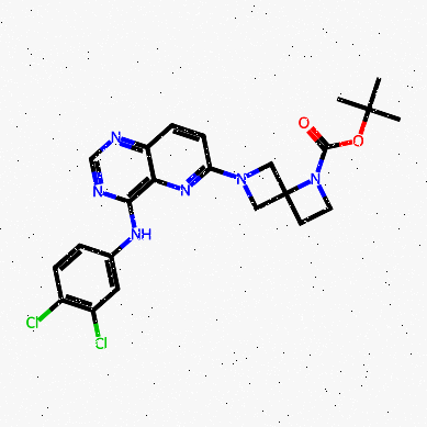 CC(C)(C)OC(=O)N1CCC12CN(c1ccc3ncnc(Nc4ccc(Cl)c(Cl)c4)c3n1)C2